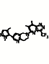 Cc1cnn(C)c1-c1cnc2c(c1)CN(c1nn3c(C(F)(F)F)nnc3c(C)c1C)CC2